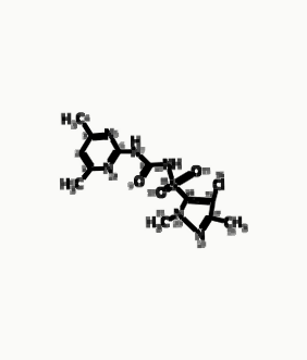 Cc1cc(C)nc(NC(=O)NS(=O)(=O)c2c(Cl)c(C)nn2C)n1